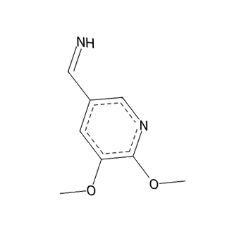 COc1cc(C=N)cnc1OC